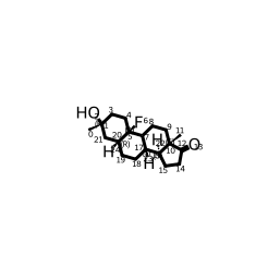 C[C@@]1(O)CC[C@]2(F)C3CC[C@]4(C)C(=O)CC[C@H]4[C@@H]3CC[C@@H]2C1